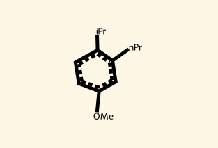 CCCc1cc(OC)ccc1C(C)C